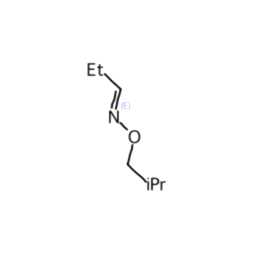 [CH2]C/C=N/OCC(C)C